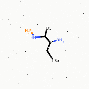 CCCCC[C@H](N)C(CC)NP